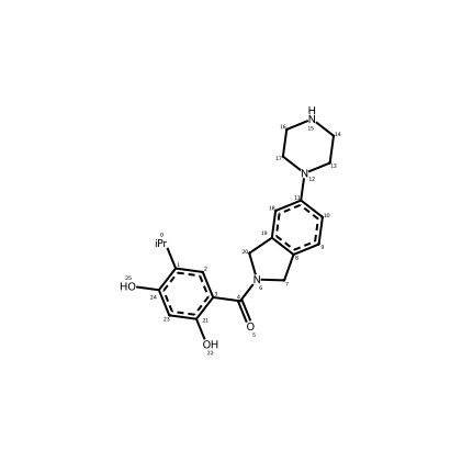 CC(C)c1cc(C(=O)N2Cc3ccc(N4CCNCC4)cc3C2)c(O)cc1O